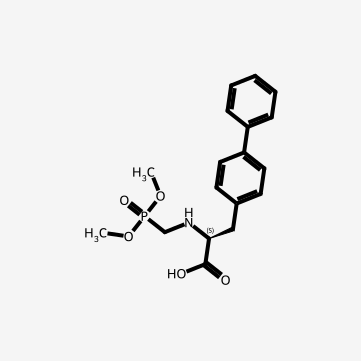 COP(=O)(CN[C@@H](Cc1ccc(-c2ccccc2)cc1)C(=O)O)OC